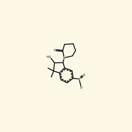 CC1(C)c2ccc([N+](=O)[O-])cc2C(N2CCCCC2=O)C1O